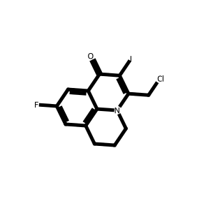 O=c1c(I)c(CCl)n2c3c(cc(F)cc13)CCC2